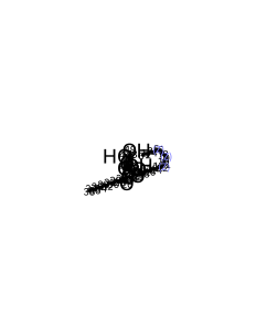 CCCCC/C=C\C/C=C\C/C=C\CCCCCCC(=O)O[C@H](COC(=O)CCCCCCCCCCCC)COP(=O)(O)OC[C@@H](O)CO